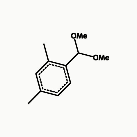 COC(OC)c1ccc(C)cc1C